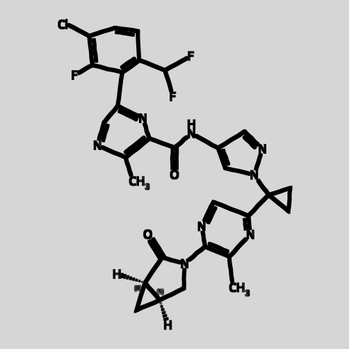 Cc1ncc(-c2c(C(F)F)ccc(Cl)c2F)nc1C(=O)Nc1cnn(C2(c3cnc(N4C[C@H]5C[C@H]5C4=O)c(C)n3)CC2)c1